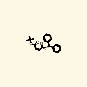 CC(C)(C)OC(=O)/C=C\C(=O)OC(c1ccccc1)c1ccccc1